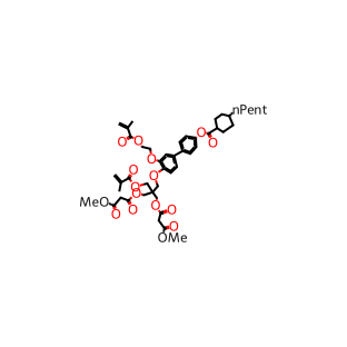 C=C(C)C(=O)OCCOc1cc(-c2ccc(OC(=O)C3CCC(CCCCC)CC3)cc2)ccc1OCC(COC(=O)CC(=O)OC)(COC(=O)CC(=O)OC)COC(=O)C(=C)C